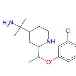 CC(Oc1cccc(Cl)c1)C1CC(C(C)(C)N)CCN1